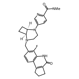 CNC(=O)c1ccc(N2CCN(Cc3ccc4c5c(c(=O)[nH]c4c3F)CCC5)[C@H]3CC[C@H]32)cn1